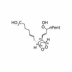 CCCCCC(C=C[C@@H]1[C@@H](CC=CCCCC(=O)O)[C@H]2C[C@H]1OO2)OO